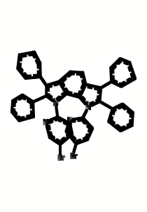 Brc1ccc(-n2c(-c3ccccc3)c(-c3ccccc3)c3ccc4c(-c5ccccc5)c(-c5ccccc5)n(-c5ccc(Br)cn5)c4c32)nc1